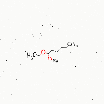 CCCCCC(=O)OCC.[Ni]